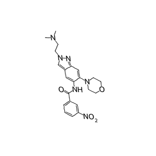 CN(C)CCn1cc2cc(NC(=O)c3cccc([N+](=O)[O-])c3)c(N3CCOCC3)cc2n1